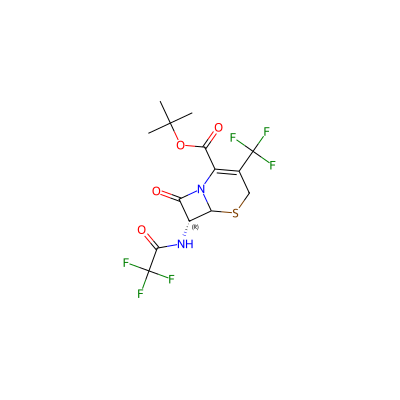 CC(C)(C)OC(=O)C1=C(C(F)(F)F)CSC2[C@H](NC(=O)C(F)(F)F)C(=O)N12